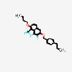 CCCCOc1ccc2cc(OCC3CCC(CCC)CC3)c(F)c(F)c2c1C(F)(F)F